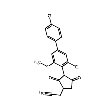 C#CCC1CC(=O)C(c2c(Cl)cc(-c3ccc(Cl)cc3)cc2OC)C1=O